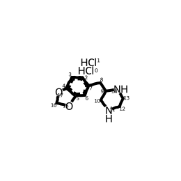 Cl.Cl.c1cc2c(cc1CC1CNCCN1)OCO2